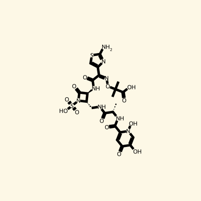 C[C@H](NC(=O)c1cc(=O)c(O)cn1O)C(=O)NC[C@H]1[C@H](NC(=O)C(=NOC(C)(C)C(=O)O)c2csc(N)n2)C(=O)N1S(=O)(=O)O